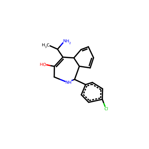 CC(N)C1=C(O)CNC(c2ccc(Cl)cc2)C2C=CC=CC12